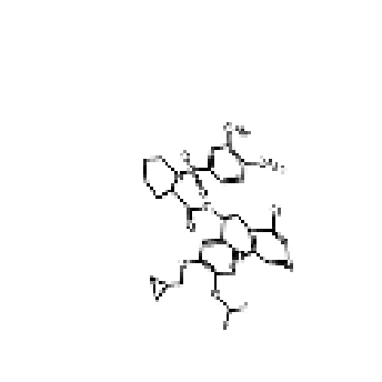 COc1ccc(S(=O)(=O)N2CCCCC2C(=O)OC(Cc2c(Cl)cncc2Cl)c2ccc(OC(F)F)c(OCC3CC3)c2)cc1OC